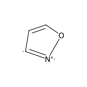 [C]1=[N+]OC=C1